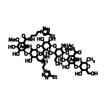 CCc1cn(CCCNC(=O)C2O[C@@H](O[C@@H]3C(NC(C)=O)[C@H](O[C@@H]4C(C(=O)NCCCn5cc(CC)nn5)O[C@@H](O[C@@H]5C(NC(C)=O)[C@H](O[C@@H]6C(C(=O)NC)O[C@@H](O[C@@H]7C(NC(C)=O)[C@H](C)OC(CO)[C@H]7O)C(O)[C@H]6O)OC(CO)[C@H]5O)C(O)[C@H]4O)OC(CO)[C@H]3O)C(O)[C@@H](O)[C@@H]2OC)nn1